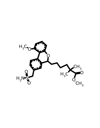 COC(=O)C(C)(C)CCCCC1Oc2cccc(OC)c2-c2ccc(CS(N)(=O)=O)cc21